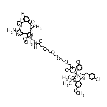 COc1ccc(C2=NC(Cc3ccc(Cl)cc3)[C@@H](c3ccc(Cl)cc3)N2C(=O)N2CCN(CCOCCOCCOCCOCCC(=O)NCCn3nc4c(c3OC)-c3cnc(N)c(c3)N3CCC[C@@H]3c3cc(F)ccc3C(=O)N(C)C4)C(=O)C2)c(OC(C)C)c1